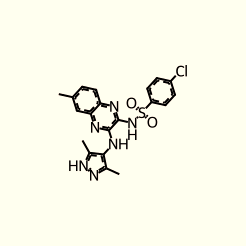 Cc1ccc2nc(NS(=O)(=O)c3ccc(Cl)cc3)c(Nc3c(C)n[nH]c3C)nc2c1